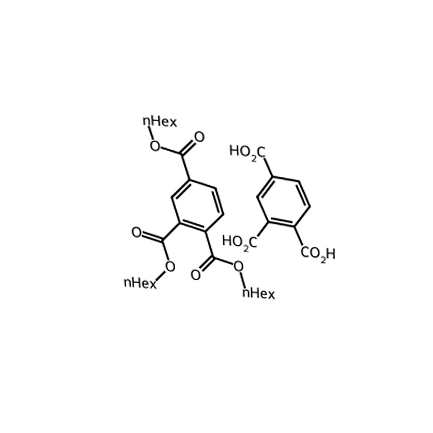 CCCCCCOC(=O)c1ccc(C(=O)OCCCCCC)c(C(=O)OCCCCCC)c1.O=C(O)c1ccc(C(=O)O)c(C(=O)O)c1